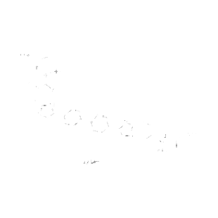 CC[C@H](C)[C@H](NC(=O)OC)C(=O)N1CCC[C@H]1c1ncc(-c2ccc(-c3ccc(-c4cnc([C@@H]5CCCN5C(=O)[C@@H](NC(=O)OC)C(C)C)[nH]4)cc3)c(OCCOC)c2OCCOC)[nH]1